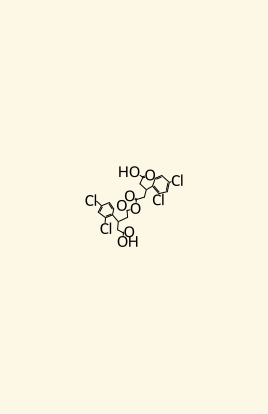 O=C(O)CC(CC(=O)OC(=O)CC(CC(=O)O)c1ccc(Cl)cc1Cl)c1ccc(Cl)cc1Cl